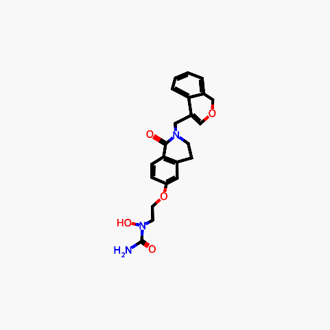 NC(=O)N(O)CCOc1ccc2c(c1)CCN(CC1=COCc3ccccc31)C2=O